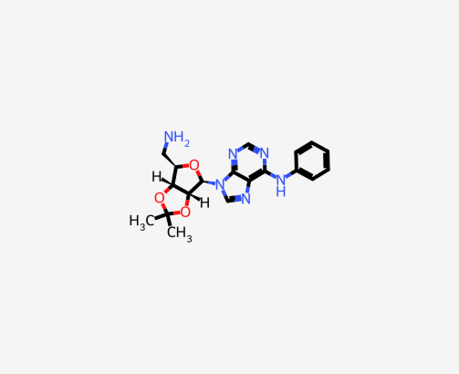 CC1(C)O[C@@H]2[C@H](O1)[C@@H](CN)O[C@H]2n1cnc2c(Nc3ccccc3)ncnc21